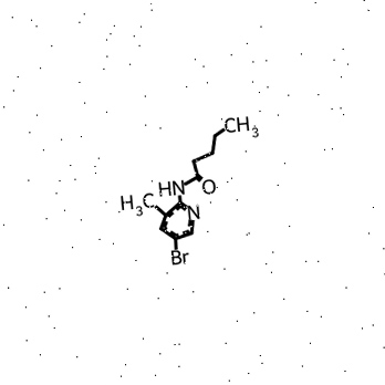 CCCCC(=O)Nc1ncc(Br)cc1C